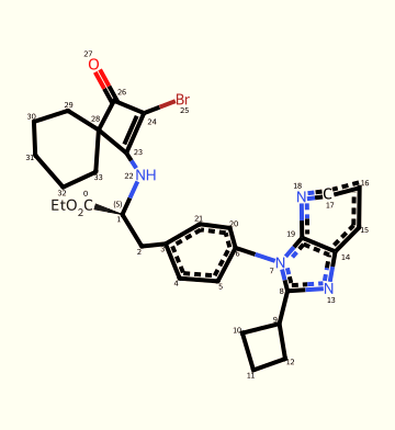 CCOC(=O)[C@H](Cc1ccc(-n2c(C3CCC3)nc3cccnc32)cc1)NC1=C(Br)C(=O)C12CCCCC2